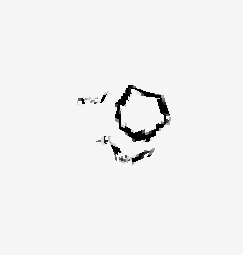 [Cl-].[Cl-].[NH]=[Fe+2]=[NH].c1ccncc1